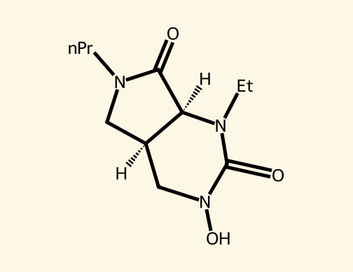 CCCN1C[C@@H]2CN(O)C(=O)N(CC)[C@@H]2C1=O